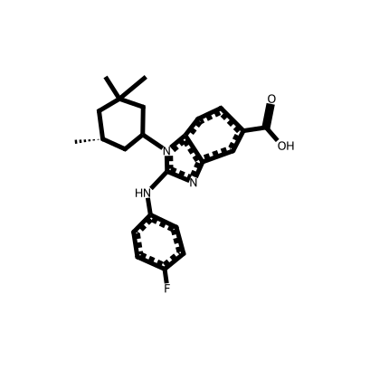 C[C@H]1CC(n2c(Nc3ccc(F)cc3)nc3cc(C(=O)O)ccc32)CC(C)(C)C1